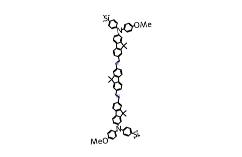 COc1ccc(N(c2ccc([Si](C)(C)C)cc2)c2ccc3c(c2)C(C)(C)c2cc(/C=C/c4ccc5c(c4)C(C)(C)c4cc(/C=C/c6ccc7c(c6)C(C)(C)c6cc(N(c8ccc(OC)cc8)c8ccc([Si](C)(C)C)cc8)ccc6-7)ccc4-5)ccc2-3)cc1